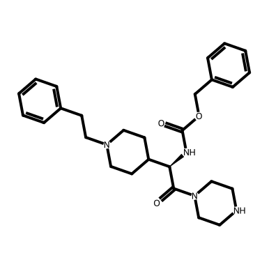 O=C(N[C@@H](C(=O)N1CCNCC1)C1CCN(CCc2ccccc2)CC1)OCc1ccccc1